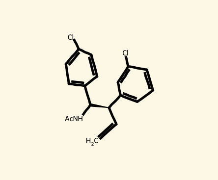 C=C[C@H](c1cccc(Cl)c1)C(NC(C)=O)c1ccc(Cl)cc1